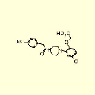 N#Cc1ccc(CC(=O)N2CCN(c3cc(Cl)ccc3OCC(=O)O)CC2)cc1